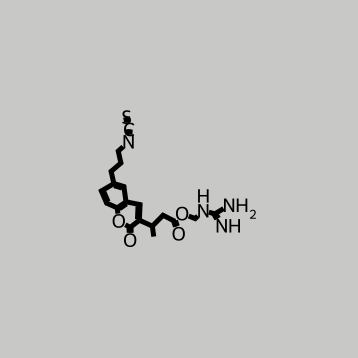 CC(CC(=O)OCNC(=N)N)c1cc2cc(CCCN=C=S)ccc2oc1=O